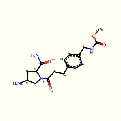 CC(C)(C)OC(=O)NCc1ccc(CCC(=O)N2CC(N)CC2C(N)=O)cc1